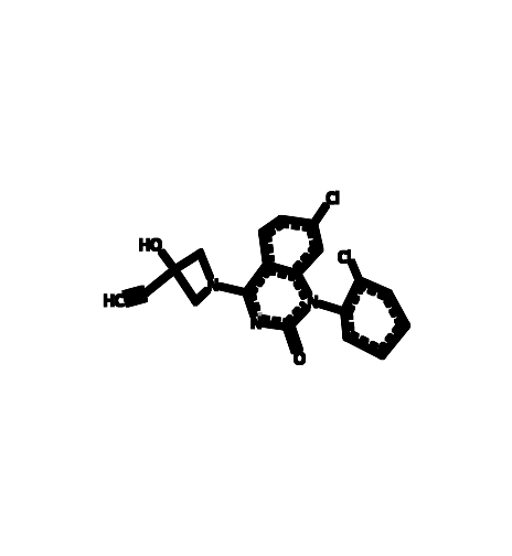 C#CC1(O)CN(c2nc(=O)n(-c3ccccc3Cl)c3cc(Cl)ccc23)C1